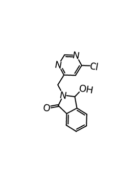 O=C1c2ccccc2C(O)N1Cc1cc(Cl)ncn1